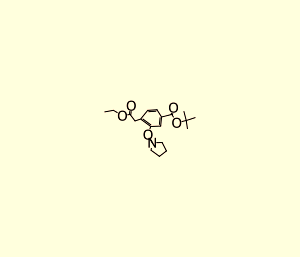 CCOC(=O)Cc1ccc(C(=O)OC(C)(C)C)cc1ON1CCCC1